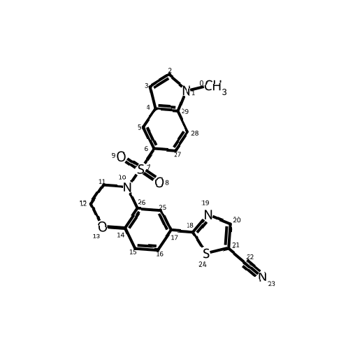 Cn1ccc2cc(S(=O)(=O)N3CCOc4ccc(-c5ncc(C#N)s5)cc43)ccc21